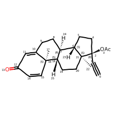 C#C[C@@]1(OC(C)=O)CC[C@H]2[C@@H]3CCC4=CC(=O)C=C[C@]4(C)[C@H]3CC[C@@]21C